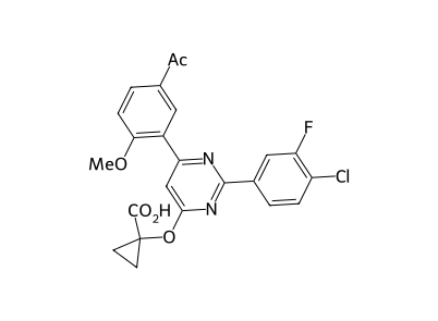 COc1ccc(C(C)=O)cc1-c1cc(OC2(C(=O)O)CC2)nc(-c2ccc(Cl)c(F)c2)n1